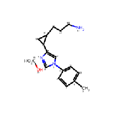 Cc1ccc(-n2cnc(C3CC3CCCN)c2)cc1.O=C(O)O